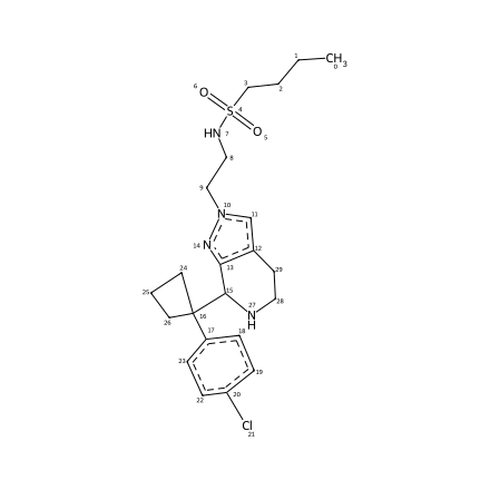 CCCCS(=O)(=O)NCCn1cc2c(n1)C(C1(c3ccc(Cl)cc3)CCC1)NCC2